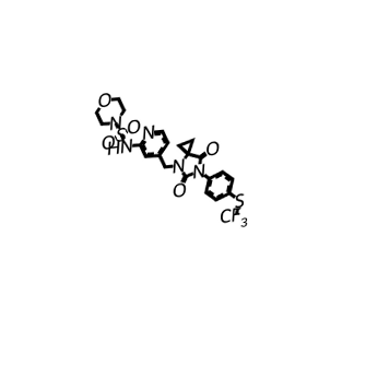 O=C1N(c2ccc(SC(F)(F)F)cc2)C(=O)C2(CC2)N1Cc1ccnc(NS(=O)(=O)N2CCOCC2)c1